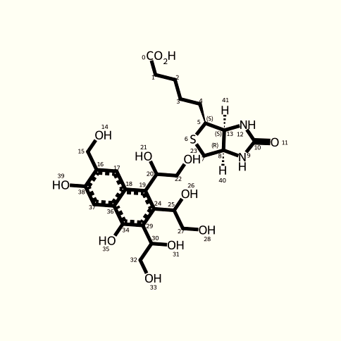 O=C(O)CCCC[C@@H]1SC[C@@H]2NC(=O)N[C@@H]21.OCc1cc2c(C(O)CO)c(C(O)CO)c(C(O)CO)c(O)c2cc1O